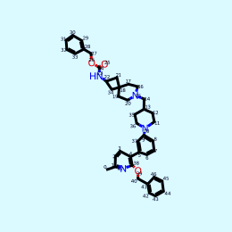 Cc1ccc(-c2cccc(N3CCC(CN4CCC5(CC4)CC(NC(=O)OCc4ccccc4)C5)CC3)c2)c(OCc2ccccc2)n1